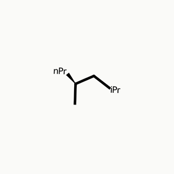 CCC[C@H](C)CC(C)C